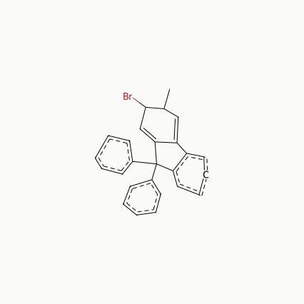 CC1C=C2C(=CC1Br)C(c1ccccc1)(c1ccccc1)c1ccccc12